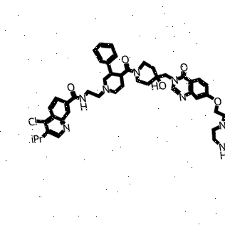 CC(C)c1cnc2cc(C(=O)NCCN3CCC(C(=O)N4CCC(O)(Cn5cnc6cc(OCCN7CCNCC7)ccc6c5=O)CC4)C(c4ccccc4)C3)ccc2c1Cl